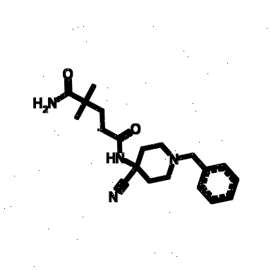 CC(C)(C[CH]C(=O)NC1(C#N)CCN(Cc2ccccc2)CC1)C(N)=O